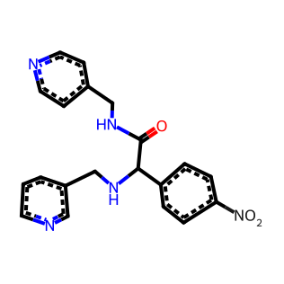 O=C(NCc1ccncc1)C(NCc1cccnc1)c1ccc([N+](=O)[O-])cc1